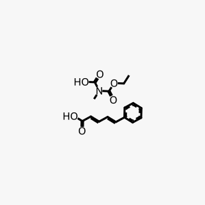 CCOC(=O)N(C)C(=O)O.O=C(O)C=CC=Cc1ccccc1